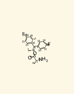 C[C@H](N)C(=O)O[C@@H](C)C(c1ccc(F)cc1)c1ccc(F)cc1